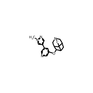 Cn1cc(-c2cncc(OC3C4CC5CC3CN(C5)C4)c2)cn1